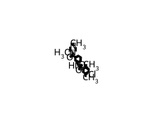 Cc1cc(S(=O)(=O)Nc2cccc(C(=O)N3CCN(C)C[C@H]3C)c2)c(C)cc1Cl